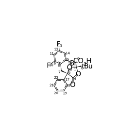 CC(C)(C)[C@@]1(C(=O)O)OC(=O)[C@](Cc2c(F)cc(F)cc2Br)(c2ccccc2)O1